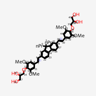 CCCC1(CCC)c2cc(/C=C/c3cc(OC)c(OCC(O)CO)c(OC)c3)ccc2-c2ccc(/C=C/c3cc(OC)c(OCC(O)CO)c(OC)c3)cc21